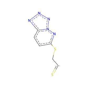 S=[C]CSc1ccc2nnnn2n1